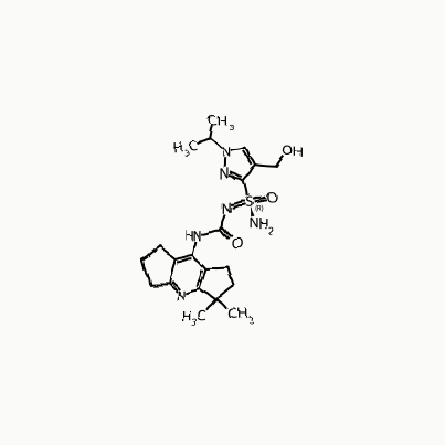 CC(C)n1cc(CO)c([S@](N)(=O)=NC(=O)Nc2c3c(nc4c2CCC4(C)C)CCC3)n1